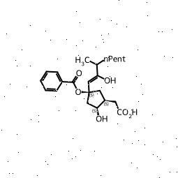 CCCCCC(C)C(O)=C[C@]1(OC(=O)c2ccccc2)C[C@@H](CC(=O)O)[C@@H](O)C1